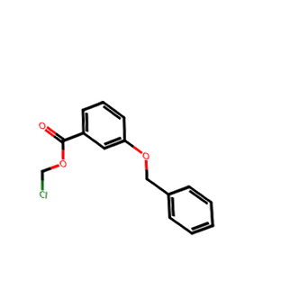 O=C(OCCl)c1cccc(OCc2ccccc2)c1